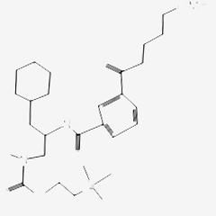 COCCCCC(=O)c1cccc(C(=O)NC(CC2CCCCC2)CN(C)C(=O)OCC[Si](C)(C)C)c1